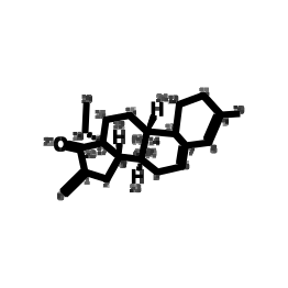 C=C1C[C@H]2[C@@H]3CC=C4C=C(C)CCC4[C@H]3CC[C@]2(CC)C1=O